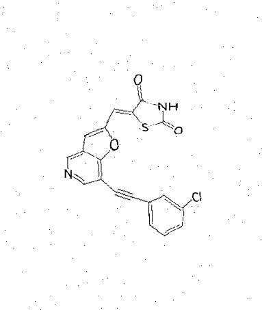 O=C1NC(=O)C(=Cc2cc3cncc(C#Cc4cccc(Cl)c4)c3o2)S1